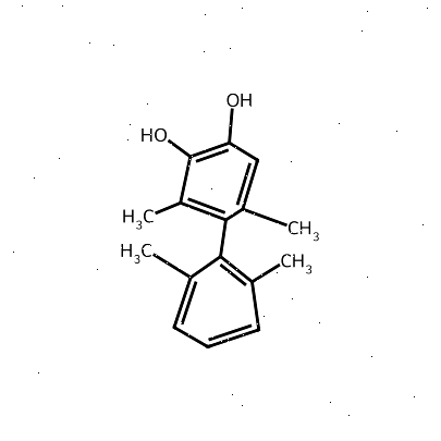 Cc1cccc(C)c1-c1c(C)cc(O)c(O)c1C